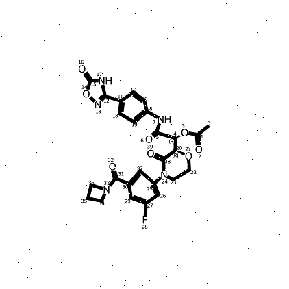 CC(=O)O[C@@H](C(=O)Nc1ccc(-c2noc(=O)[nH]2)cc1)[C@H]1OCCN(c2cc(F)cc(C(=O)N3CCC3)c2)C1=O